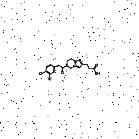 O=C(O)CCc1cc2n(n1)CCN(C(=O)Cc1ccc(Cl)c(Cl)c1)C2